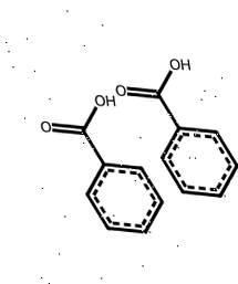 O=C(O)c1cc[c]cc1.O=C(O)c1cc[c]cc1